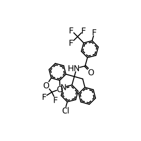 O=C(NC(Cc1ccccc1)(c1ccc(Cl)cn1)c1cccc2c1OC(F)(F)O2)c1ccc(F)c(C(F)(F)F)c1